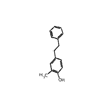 Cc1cc([CH]Cc2ccccc2)ccc1O